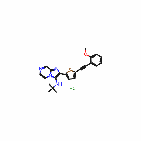 COc1ccccc1C#Cc1ccc(-c2nc3cnccn3c2NC(C)(C)C)s1.Cl